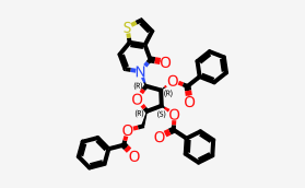 O=C(OC[C@H]1O[C@@H](n2ccc3sccc3c2=O)[C@H](OC(=O)c2ccccc2)[C@H]1OC(=O)c1ccccc1)c1ccccc1